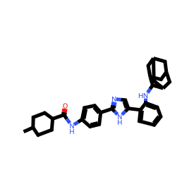 CC1CCC(C(=O)Nc2ccc(-c3ncc(-c4ccccc4NC4C5CC6CC(C5)CC4C6)[nH]3)cc2)CC1